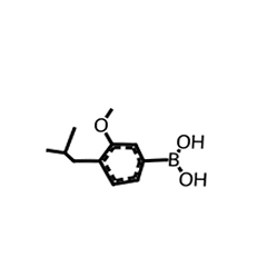 COc1cc(B(O)O)ccc1CC(C)C